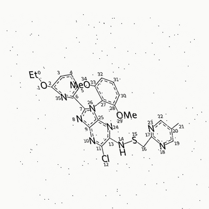 CCOc1cccc(-c2nc3nc(Cl)c(NSCc4ncc(C)cn4)nc3n2-c2c(OC)cccc2OC)n1